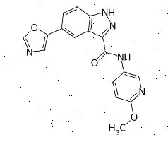 COc1ccc(NC(=O)c2n[nH]c3ccc(-c4cnco4)cc23)cn1